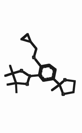 CC1(c2ccc(OCC3CC3)c(B3OC(C)(C)C(C)(C)O3)c2)OCCO1